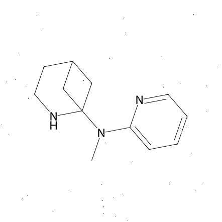 CN(c1ccccn1)C12CC(CCN1)C2